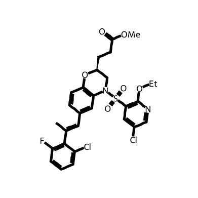 CCOc1ncc(Cl)cc1S(=O)(=O)N1C[C@H](CCC(=O)OC)Oc2ccc(/C=C(\C)c3c(F)cccc3Cl)cc21